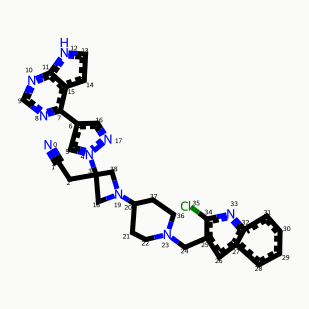 N#CCC1(n2cc(-c3ncnc4[nH]ccc34)cn2)CN(C2CCN(Cc3cc4ccccc4nc3Cl)CC2)C1